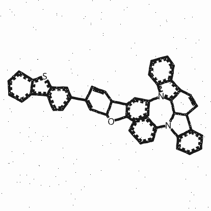 C1=CC2c3cc(-n4c5c(c6ccccc64)C=CC4c6ccccc6N(c6ccccc6)C54)ccc3OC2C=C1c1ccc2c(c1)sc1ccccc12